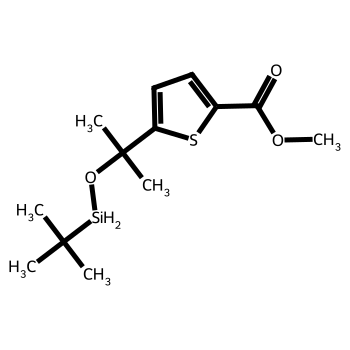 COC(=O)c1ccc(C(C)(C)O[SiH2]C(C)(C)C)s1